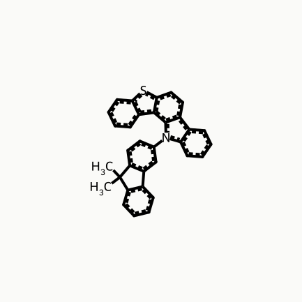 CC1(C)c2ccccc2-c2cc(-n3c4ccccc4c4ccc5sc6ccccc6c5c43)ccc21